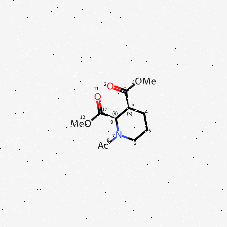 COC(=O)[C@H]1CCCN(C(C)=O)[C@H]1C(=O)OC